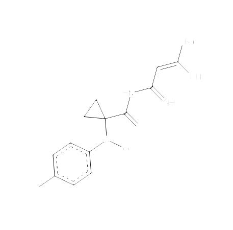 CC(C)(C)/C(O)=C/C(=N)NC(=O)C1([S+]([O-])c2ccc(Cl)cc2)CC1